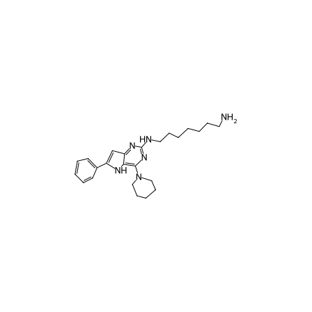 NCCCCCCCNc1nc(N2CCCCC2)c2[nH]c(-c3ccccc3)cc2n1